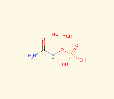 NC(=O)NOP(=O)(O)O.OO